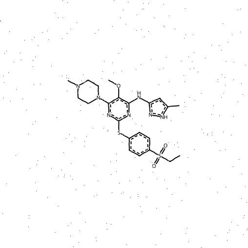 CCS(=O)(=O)c1ccc(Sc2nc(Nc3cc(C)[nH]n3)c(OC)c(N3CCN(C)CC3)n2)cc1